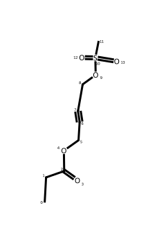 CCC(=O)OCC#CCOS(C)(=O)=O